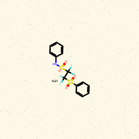 O=S(=O)(Nc1ccccc1)C(F)(F)C(F)(F)S(=O)(=O)c1ccccc1.[NaH]